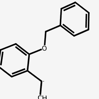 C[CH]c1ccccc1OCc1ccccc1